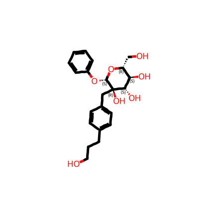 OCCCc1ccc(C[C@]2(O)[C@H](Oc3ccccc3)O[C@H](CO)[C@@H](O)[C@@H]2O)cc1